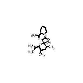 CC(C)C1OC(O)(CC(=O)N2CCCCC2C(=O)O)C(C)CC1C